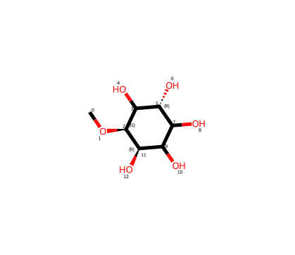 CO[C@H]1C(O)[C@H](O)C(O)C(O)[C@H]1O